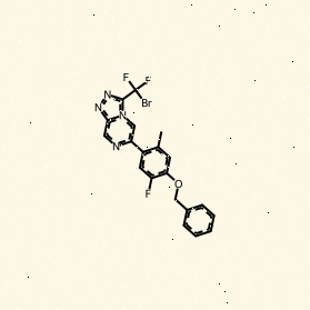 Cc1cc(OCc2ccccc2)c(F)cc1-c1cn2c(C(F)(F)Br)nnc2cn1